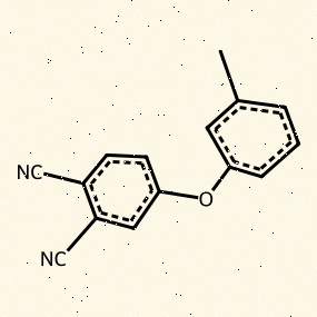 Cc1cccc(Oc2ccc(C#N)c(C#N)c2)c1